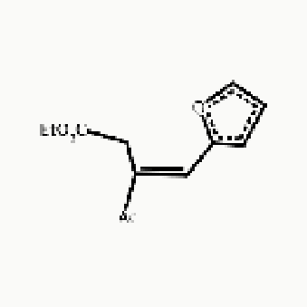 CCOC(=O)CC(=Cc1ccco1)C(C)=O